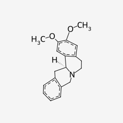 COc1cc2c(cc1OC)[C@@H]1Cc3ccccc3CN1CC2